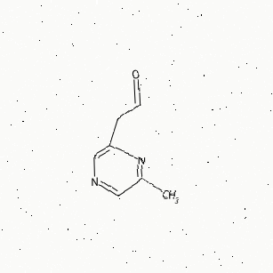 Cc1cncc(CC=O)n1